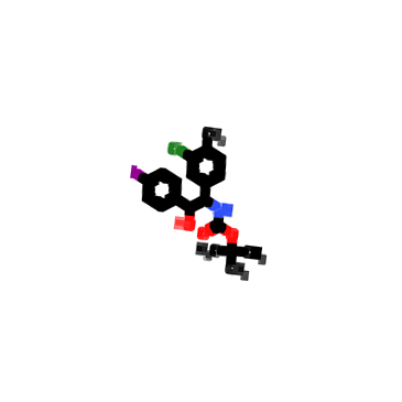 Cc1ccc(C(NC(=O)OC(C)(C)C)C(O)c2ccc(I)cc2)cc1Cl